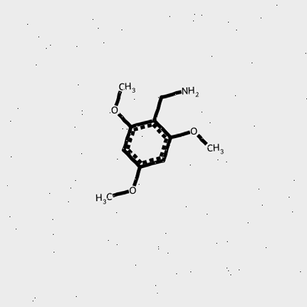 COc1cc(OC)c([CH]N)c(OC)c1